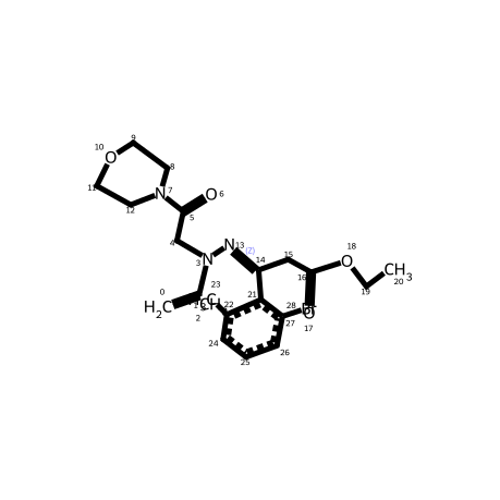 C=C(C)N(CC(=O)N1CCOCC1)/N=C(/CC(=O)OCC)c1c(C)cccc1Br